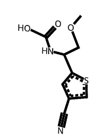 COCC(NC(=O)O)c1cc(C#N)cs1